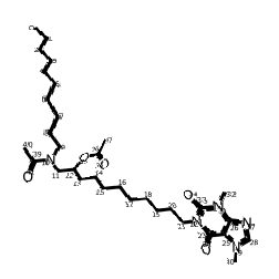 CCCCCCCCCCN(CC(CCCCCCCCCn1c(=O)c2c(ncn2C)n(C)c1=O)OC(C)=O)C(C)=O